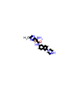 Cc1cnc2c(N)c(C(=O)N[C@@H]3CCc4cc(N5CCNCC5)ccc4C3)sc2n1